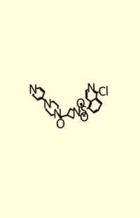 O=C(C1CN(S(=O)(=O)c2cccc3c(Cl)nccc23)C1)N1CCN(c2ccncc2)CC1